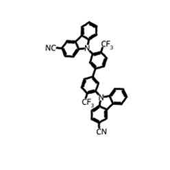 N#Cc1ccc2c(c1)c1ccccc1n2-c1cc(-c2ccc(C(F)(F)F)c(-n3c4ccccc4c4cc(C#N)ccc43)c2)ccc1C(F)(F)F